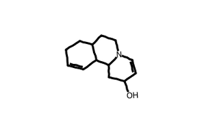 OC1C=CN2CCC3CCC=CC3C2C1